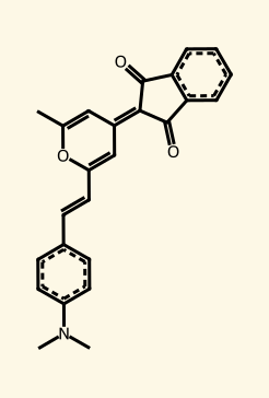 CC1=CC(=C2C(=O)c3ccccc3C2=O)C=C(/C=C/c2ccc(N(C)C)cc2)O1